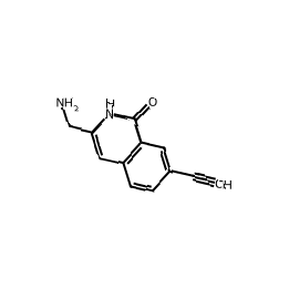 C#Cc1ccc2cc(CN)[nH]c(=O)c2c1